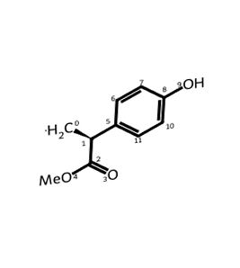 [CH2][C@H](C(=O)OC)c1ccc(O)cc1